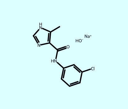 Cc1[nH]cnc1C(=O)Nc1cccc(Cl)c1.[Na+].[OH-]